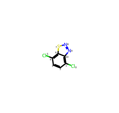 Clc1ccc(Cl)c2snnc12